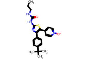 CCCNC(=O)Nc1nc(-c2ccc(C(C)(C)C)cc2)c(-c2cc[n+]([O-])cc2)s1